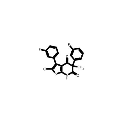 CC1(c2cccc(F)c2)C(=O)Nc2sc(Cl)c(-c3cccc(F)c3)c2C1=O